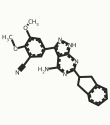 COc1cc(-c2n[nH]c3nc(C4Cc5ccccc5C4)nc(N)c23)cc(C#N)c1OC